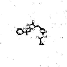 CC1(c2ccccc2)CC2(NC(=O)/C(=C/c3cnc(NC(=O)C4CC4)s3)S2)N1